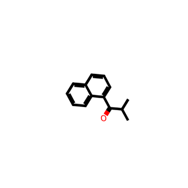 CC(C)C(=O)c1cccc2ccccc12